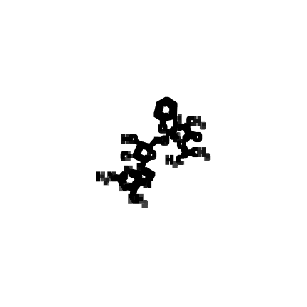 CC(C)OC(=O)C(C)NP(=S)(OC[C@H]1O[C@@H](n2cnc3c(N)nc(N)nc32)[C@H](Cl)[C@@H]1O)Oc1ccccc1